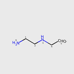 NCCNC[C]=O